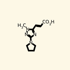 Cn1nc(N2CCCC2)nc1C=CC(=O)O